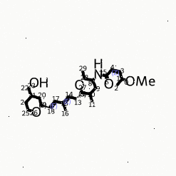 COC(C)/C=C\C(=O)NC1CC(C)[C@H](C/C=C(C)/C=C/[C@@H]2CC(CO)CCO2)OC1C